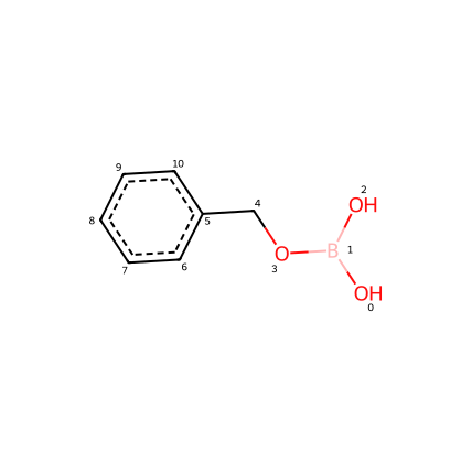 OB(O)OCc1ccccc1